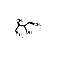 C=CC(=C)C(O)C=C